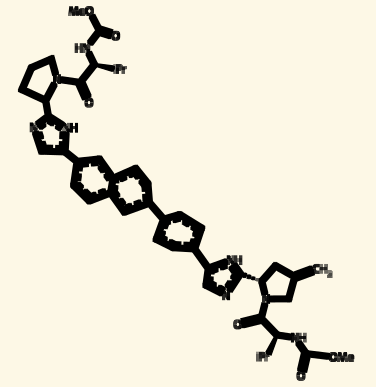 C=C1C[C@@H](c2ncc(-c3ccc(-c4ccc5cc(-c6cnc(C7CCCN7C(=O)[C@@H](NC(=O)OC)C(C)C)[nH]6)ccc5c4)cc3)[nH]2)N(C(=O)[C@@H](NC(=O)OC)C(C)C)C1